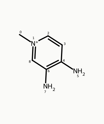 C[n+]1ccc(N)c(N)c1